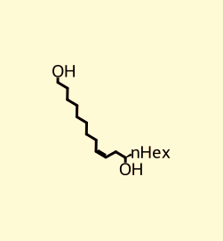 CCCCCC[C@@H](O)C/C=C\CCCCCCCCO